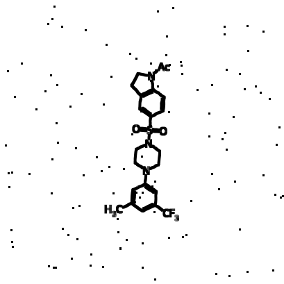 CC(=O)N1CCc2cc(S(=O)(=O)N3CCN(c4cc(C)cc(C(F)(F)F)c4)CC3)ccc21